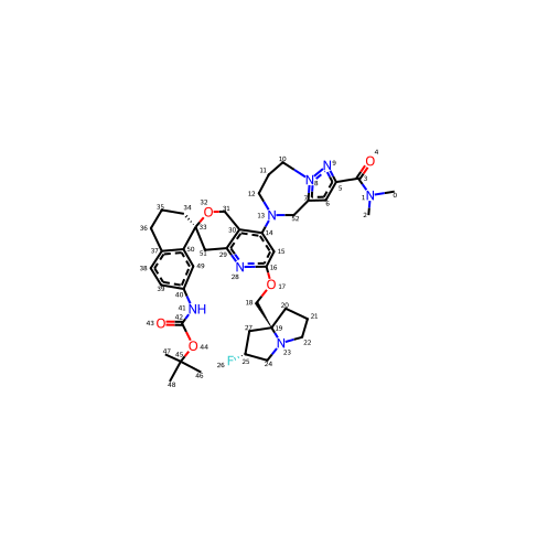 CN(C)C(=O)c1cc2n(n1)CCCN(c1cc(OC[C@@]34CCCN3C[C@H](F)C4)nc3c1CO[C@@]1(CCCc4ccc(NC(=O)OC(C)(C)C)cc41)C3)C2